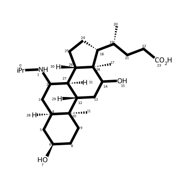 CC(C)NC1C[C@@H]2C[C@H](O)CC[C@]2(C)[C@H]2CC(O)[C@]3(C)[C@@H]([C@H](C)CCC(=O)O)CC[C@H]3[C@H]12